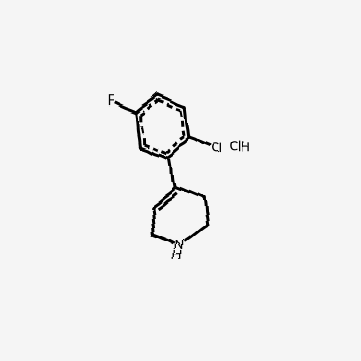 Cl.Fc1ccc(Cl)c(C2=CCNCC2)c1